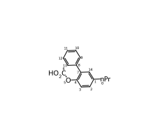 CCCc1ccc(OC(=O)O)c(-c2ccccc2)c1